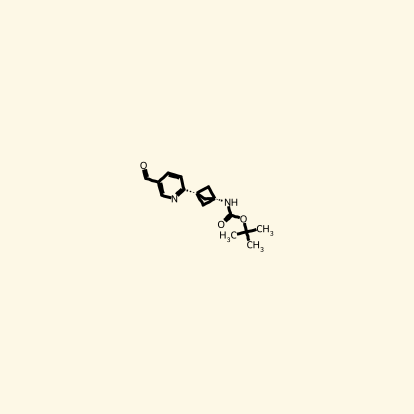 CC(C)(C)OC(=O)N[C@]12C[C@](c3ccc(C=O)cn3)(C1)C2